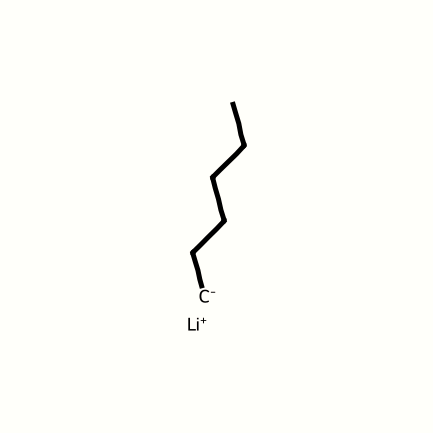 [CH2-]CCCCC.[Li+]